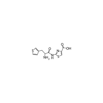 NC(Cc1ccsc1)C(=O)Nc1nc(C(=O)O)cs1